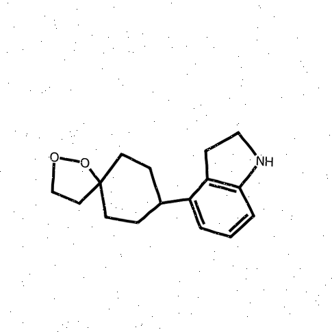 c1cc2c(c(C3CCC4(CCOO4)CC3)c1)CCN2